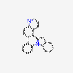 c1ccc2c(c1)cc1c3c4cccnc4ccc3c3ccccc3n21